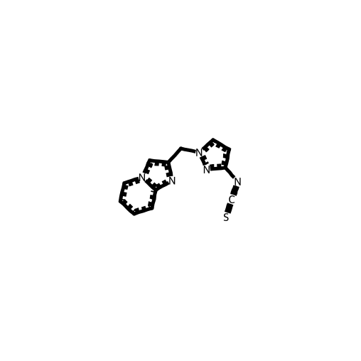 S=C=Nc1ccn(Cc2cn3ccccc3n2)n1